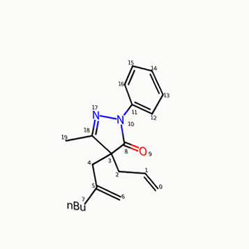 C=CCC1(CC(=C)CCCC)C(=O)N(c2ccccc2)N=C1C